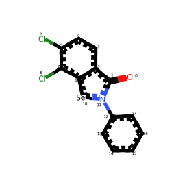 O=c1c2ccc(Cl)c(Cl)c2[se]n1-c1ccccc1